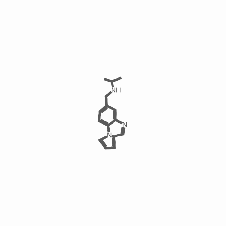 CC(C)NCc1ccc2c(c1)ncc1cccn12